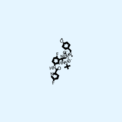 COc1ccc(CN(C)[S+]([O-])CC(N)(N[S@+]([O-])C(C)(C)C)c2cc(NC(=O)c3ccc(F)cn3)ccc2F)cc1